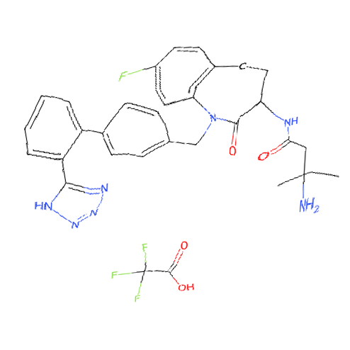 CC(C)(N)CC(=O)NC1CCc2ccc(F)cc2N(Cc2ccc(-c3ccccc3-c3nnn[nH]3)cc2)C1=O.O=C(O)C(F)(F)F